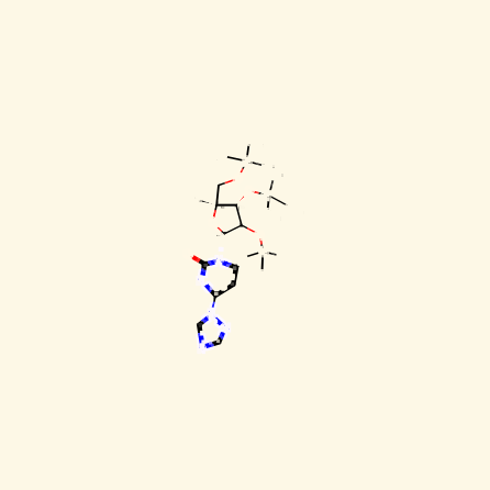 [C-]#[N+][C@]1(CO[Si](C)(C)C(C)(C)C)O[C@@H](n2ccc(-n3cncn3)nc2=O)C(O[Si](C)(C)C(C)(C)C)[C@@H]1O[Si](C)(C)C(C)(C)C